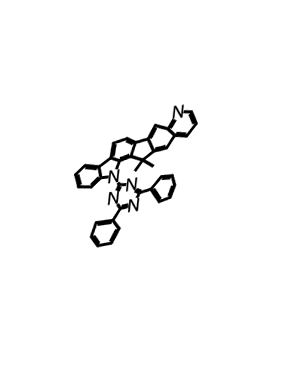 CC1(C)c2cc3cccnc3cc2-c2ccc3c4ccccc4n(-c4nc(-c5ccccc5)nc(-c5ccccc5)n4)c3c21